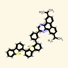 CC(C)c1ccc2c3ccc(C(C)C)cc3c3nc(-c4cccc(-c5cccc6c5sc5c(-c7cccc8c7sc7ccccc78)cccc56)c4)cnc3c2c1